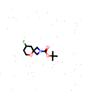 CC(C)(C)OC(=O)N1CC2(CC(F)CCO2)C1